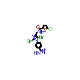 CN(C)C(=N)c1ccc(-n2c(Br)nc(CNC(=O)c3ccc(Cl)s3)c2Br)cc1